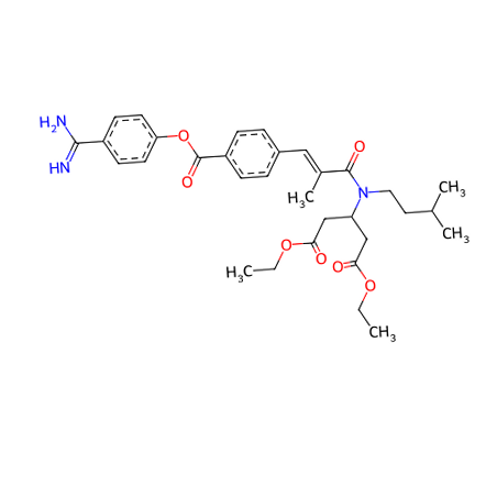 CCOC(=O)CC(CC(=O)OCC)N(CCC(C)C)C(=O)/C(C)=C/c1ccc(C(=O)Oc2ccc(C(=N)N)cc2)cc1